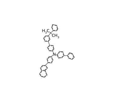 CC(C)(c1ccccc1)c1cccc(-c2ccc(N(c3ccc(-c4ccccc4)cc3)c3ccc(-c4ccc5ccccc5c4)cc3)cc2)c1